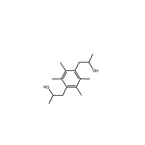 Cc1c(C)c(CC(C)O)c(C)c(C)c1CC(C)O